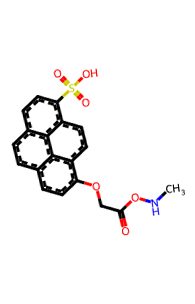 CNOC(=O)COc1ccc2ccc3ccc(S(=O)(=O)O)c4ccc1c2c34